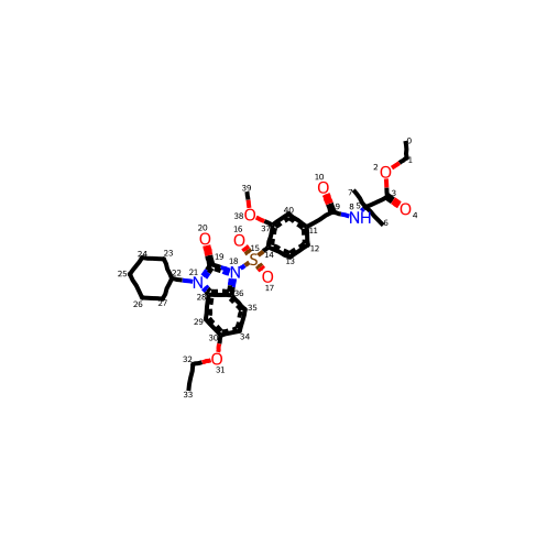 CCOC(=O)C(C)(C)NC(=O)c1ccc(S(=O)(=O)n2c(=O)n(C3CCCCC3)c3cc(OCC)ccc32)c(OC)c1